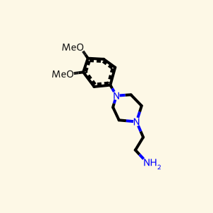 COc1ccc(N2CCN(CCN)CC2)cc1OC